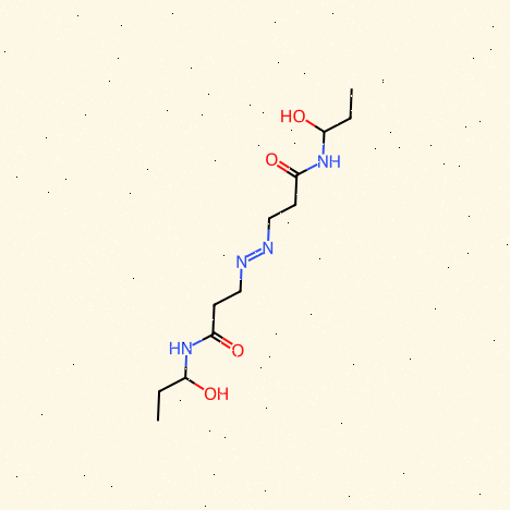 CCC(O)NC(=O)CCN=NCCC(=O)NC(O)CC